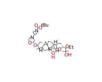 CCO[C@@H]([C@H]1C[C@@H](C)[C@H]2[C@H](O1)[C@H](O)[C@@]1(C)[C@@H]3CC[C@H]4C(C)(C)[C@@H](O[C@H]5CN(C6CN(C(=O)OC(C)(C)C)C6)CCO5)CC[C@@]45CC35CC[C@]21C)C(C)(C)O